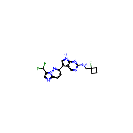 FC(F)c1cnc2ccc(-c3c[nH]c4nc(NCC5(F)CCC5)ncc34)nn12